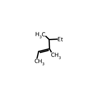 C/C=C(\C)C(C)CC